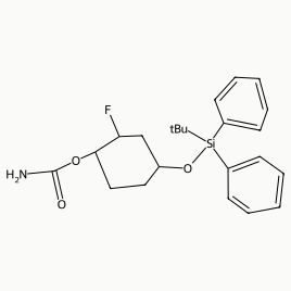 CC(C)(C)[Si](OC1CCC(OC(N)=O)C(F)C1)(c1ccccc1)c1ccccc1